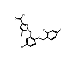 Cc1cc(C(=O)Cl)nn1Cc1cc(Br)ccc1OCc1ccc(F)cc1F